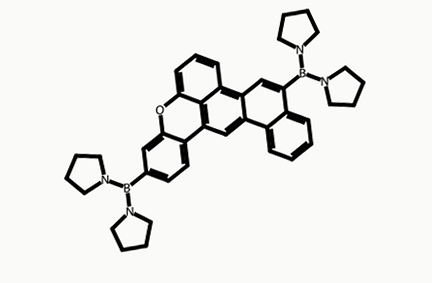 c1ccc2c(c1)c(B(N1CCCC1)N1CCCC1)cc1c3cccc4c3c(cc21)-c1ccc(B(N2CCCC2)N2CCCC2)cc1O4